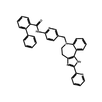 O=C(Nc1ccc(CN2CCc3nc(-c4ccccn4)[nH]c3-c3ccccc32)cn1)c1ccccc1-c1ccccc1